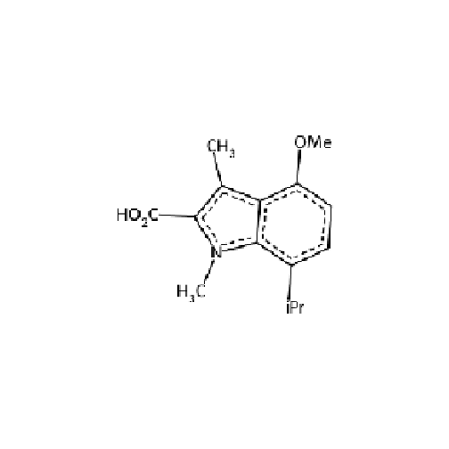 COc1ccc(C(C)C)c2c1c(C)c(C(=O)O)n2C